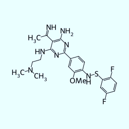 COc1cc(-c2nc(N)c(C(C)=N)c(NCCN(C)C)n2)ccc1NSc1cc(F)ccc1F